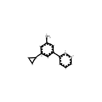 Nc1cc(-c2cccnn2)cc(C2CC2)c1